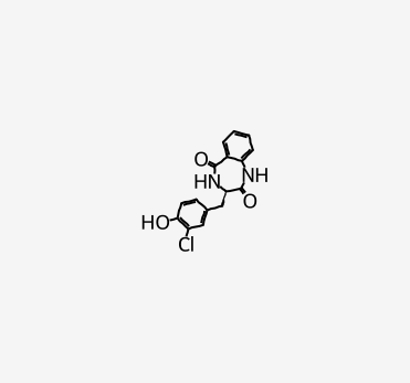 O=C1N[C@H](Cc2ccc(O)c(Cl)c2)C(=O)Nc2ccccc21